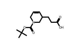 CC(C)(C)OC(=O)N1CC=CC(CCC(=O)O)C1